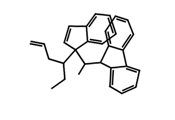 C=CCC(CC)C1(C(C)C2c3ccccc3-c3ccccc32)C=Cc2ccccc21